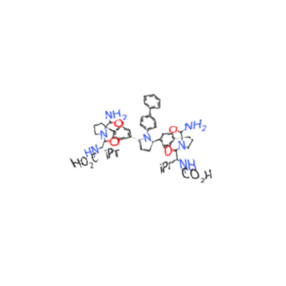 CC(C)[C@H](NC(=O)O)C(=O)N1CCC[C@@]1(C(N)=O)c1ccc([C@H]2CC[C@H](c3ccc([C@]4(C(N)=O)CCCN4C(=O)[C@@H](NC(=O)O)C(C)C)cc3)N2c2ccc(-c3ccccc3)cc2)cc1